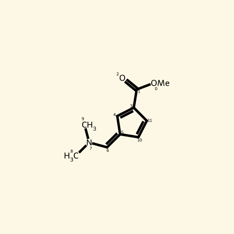 COC(=O)C1=CC(=CN(C)C)C=C1